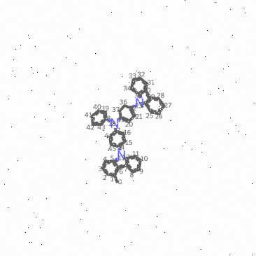 Cc1cccc2c1c1ccccc1n2-c1ccc(N(C2=CC=C(n3c4ccccc4c4ccccc43)CC2)c2ccccc2)cc1